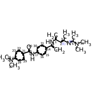 C=C(/C=C(C)/N=C(\C)N(C)C)NC(=C)c1ccc(NC(=O)c2ccc(N(C)C)cc2)cc1